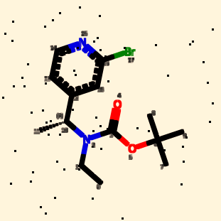 CCN(C(=O)OC(C)(C)C)[C@H](C)c1ccnc(Br)c1